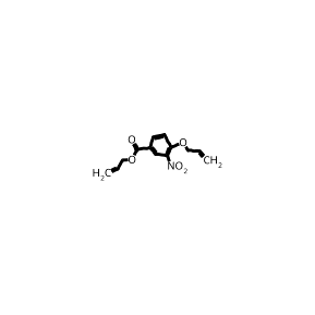 C=CCOC(=O)c1ccc(OCC=C)c([N+](=O)[O-])c1